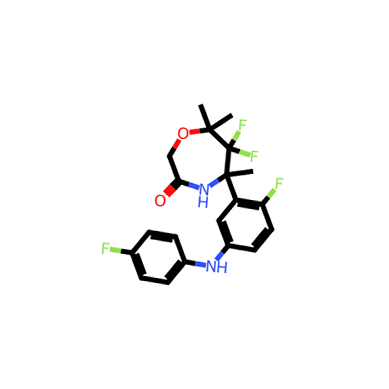 CC1(C)OCC(=O)NC(C)(c2cc(Nc3ccc(F)cc3)ccc2F)C1(F)F